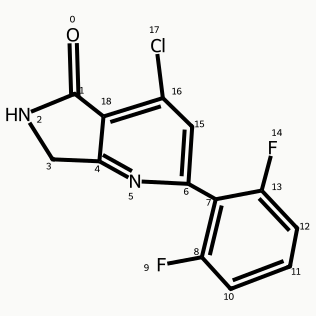 O=C1NCc2nc(-c3c(F)cccc3F)cc(Cl)c21